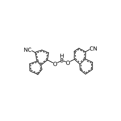 N#Cc1ccc(OBOc2ccc(C#N)c3ccccc23)c2ccccc12